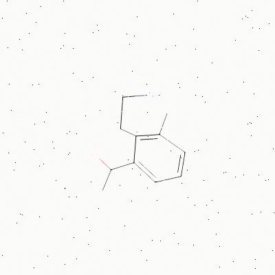 CC[C@H](N)Cc1c(C(C)C)cccc1C(C)O